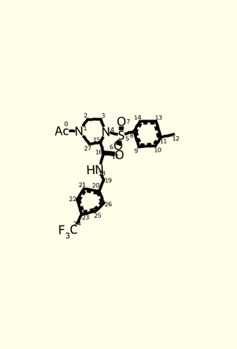 CC(=O)N1CCN(S(=O)(=O)c2ccc(C)cc2)C(C(=O)NCc2ccc(C(F)(F)F)cc2)C1